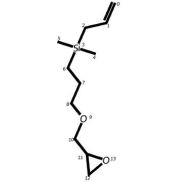 C=CC[Si](C)(C)CCCOCC1CO1